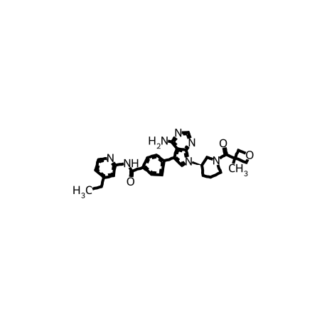 CCc1ccnc(NC(=O)c2ccc(-c3cn([C@@H]4CCCN(C(=O)C5(C)COC5)C4)c4ncnc(N)c34)cc2)c1